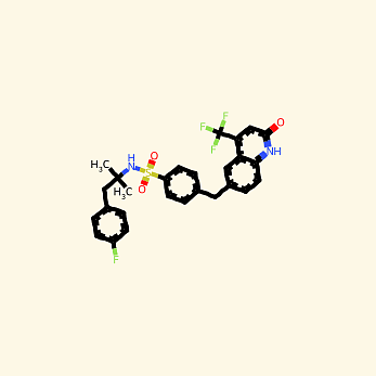 CC(C)(Cc1ccc(F)cc1)NS(=O)(=O)c1ccc(Cc2ccc3[nH]c(=O)cc(C(F)(F)F)c3c2)cc1